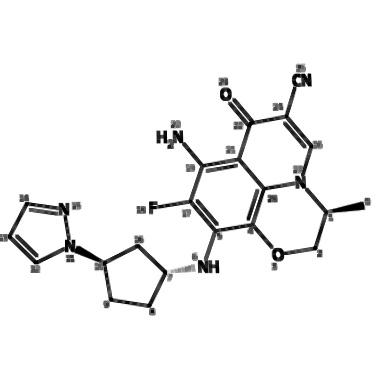 C[C@H]1COc2c(N[C@@H]3CC[C@@H](n4cccn4)C3)c(F)c(N)c3c(=O)c(C#N)cn1c23